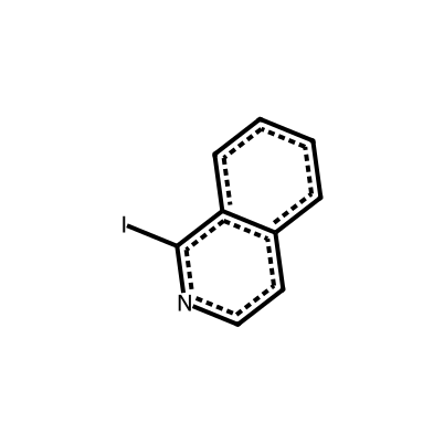 Ic1nccc2ccccc12